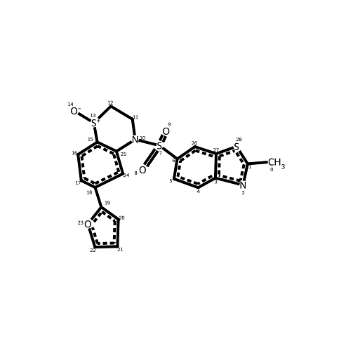 Cc1nc2ccc(S(=O)(=O)N3CC[S+]([O-])c4ccc(-c5ccco5)cc43)cc2s1